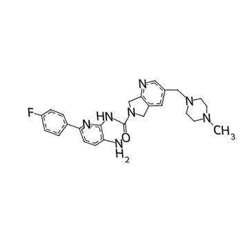 CN1CCN(Cc2cnc3c(c2)CN(C(=O)Nc2nc(-c4ccc(F)cc4)ccc2N)C3)CC1